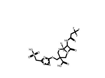 O=C1C(NC(=S)CC(F)(F)F)[C@H]2SCC(CSc3nnc(CS(=O)(=O)O)o3)(C(=O)O)CN12